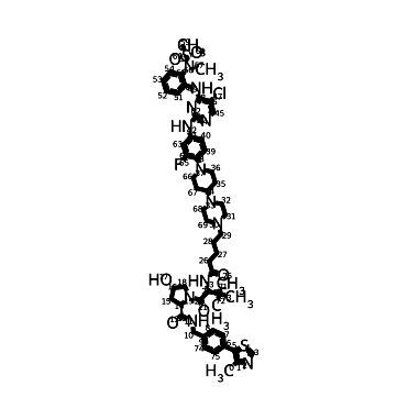 Cc1ncsc1-c1ccc(CNC(=O)[C@H]2C[C@@H](O)CN2C(=O)[C@@H](NC(=O)CCCCN2CCN(C3CCN(c4ccc(Nc5ncc(Cl)c(Nc6ccccc6N(C)S(C)(=O)=O)n5)cc4F)CC3)CC2)C(C)(C)C)cc1